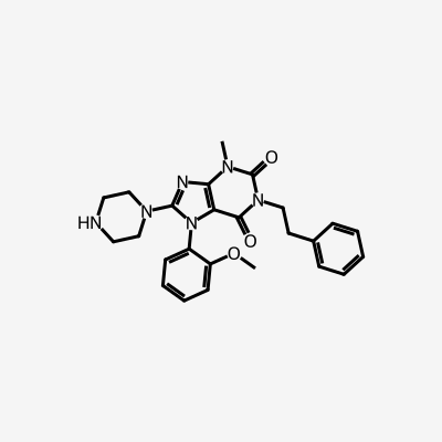 COc1ccccc1-n1c(N2CCNCC2)nc2c1c(=O)n(CCc1ccccc1)c(=O)n2C